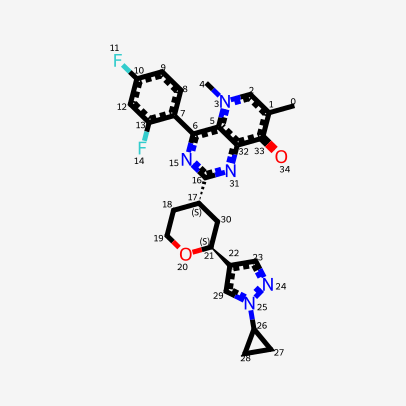 Cc1cn(C)c2c(-c3ccc(F)cc3F)nc([C@H]3CCO[C@H](c4cnn(C5CC5)c4)C3)nc2c1=O